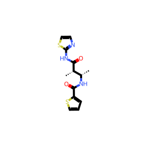 C[C@H](NC(=O)c1cccs1)[C@H](C)C(=O)Nc1nccs1